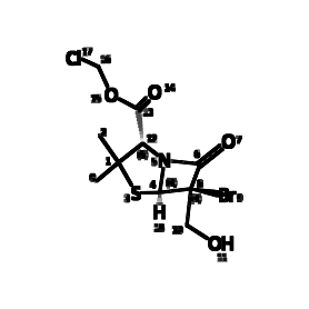 CC1(C)S[C@H]2N(C(=O)[C@]2(Br)CO)[C@H]1C(=O)OCCl